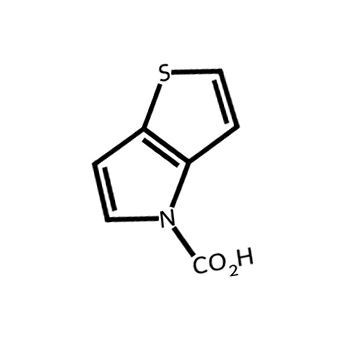 O=C(O)n1ccc2sccc21